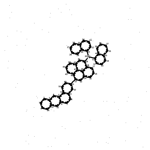 c1ccc2cc3c(ccc4cc(-c5cc6cccc7c(N(c8cccc9ccccc89)c8cccc9ccccc89)cc8cccc5c8c67)ccc43)cc2c1